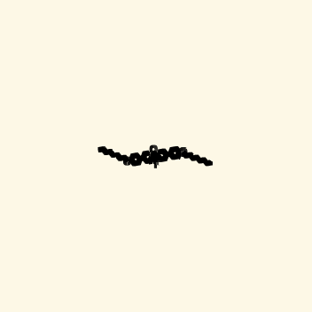 CCCCCCCCOC1CCC(C2CC[C@]3(CC2)C(=O)[C@@]2(CCC(C4CCC(OCCCCCCCC)CC4)CC2)[C@H]3F)CC1